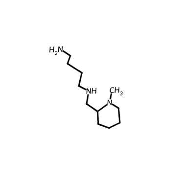 CN1CCCCC1CNCCCCN